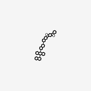 c1ccc2c(-c3c4ccccc4c(-c4ccc5cc(-c6ccc7cc8oc9cc%10c(cc9c8cc7c6)oc6ccccc6%10)ccc5c4)c4ccccc34)cccc2c1